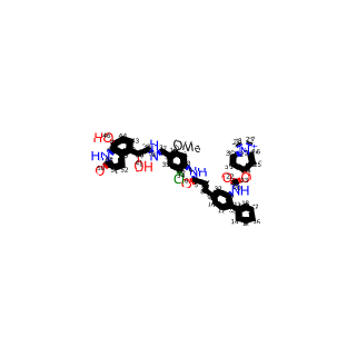 COc1cc(NC(=O)CCc2ccc(-c3ccccc3)c(NC(=O)OC3CC[N+](C)(C)CC3)c2)c(Cl)cc1CNC[C@H](O)c1ccc(O)c2[nH]c(=O)ccc12